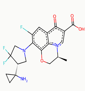 C[C@H]1COc2c(N3C[C@H](C4(N)CC4)C(F)(F)C3)c(F)cc3c(=O)c(C(=O)O)cn1c23